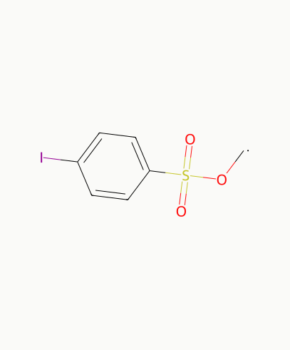 [CH2]OS(=O)(=O)c1ccc(I)cc1